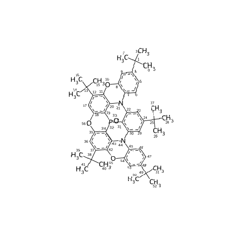 CC(C)(C)c1ccc2c(c1)Oc1c(C(C)(C)C)cc3c4c1N2c1cc(C(C)(C)C)cc2c1P4(=O)c1c(cc(C(C)(C)C)c4c1N2c1ccc(C(C)(C)C)cc1O4)O3